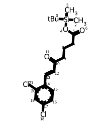 CC(C)(C)[Si](C)(C)OC(=O)CCCC(=O)C=Cc1ccc(Cl)cc1Cl